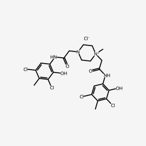 Cc1c(Cl)cc(NC(=O)CN2CC[N+](C)(CC(=O)Nc3cc(Cl)c(C)c(Cl)c3O)CC2)c(O)c1Cl.[Cl-]